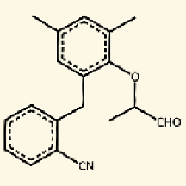 Cc1cc(C)c(OC(C)C=O)c(Cc2ccccc2C#N)c1